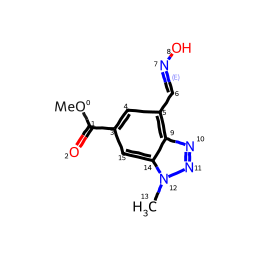 COC(=O)c1cc(/C=N/O)c2nnn(C)c2c1